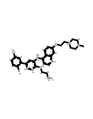 CN1CCN(CCOc2ccc3c(Nc4cc(-c5cc(Cl)ccc5F)nnc4OCCN)ccnc3c2)CC1